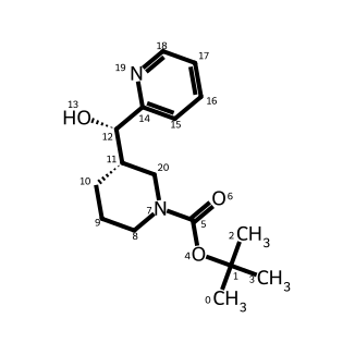 CC(C)(C)OC(=O)N1CCC[C@H]([C@H](O)c2ccccn2)C1